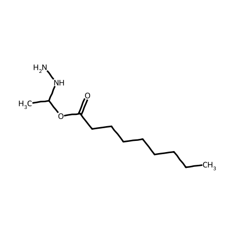 CCCCCCCCC(=O)OC(C)NN